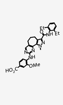 CCc1cccc(CC)c1NC(=O)c1nn(C)c2c1CCCc1cnc(Nc3ccc(C(=O)O)cc3OC)nc1-2